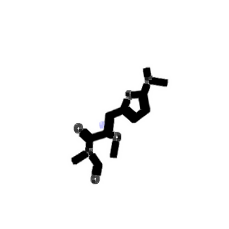 CO/C(=C\c1ccc(N(C)C)s1)C(=O)N(C)C=O